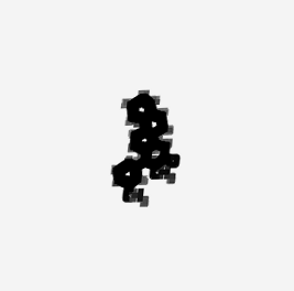 Cc1cccc(C2=c3ccc4c(c3CC(=O)C2C)CC=c2ccccc2=4)c1